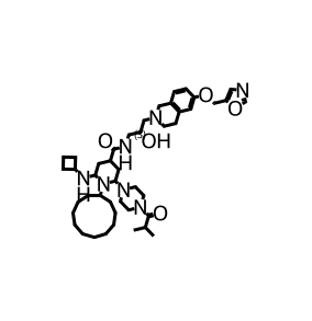 CC(C)C(=O)N1CCN(C2CC(C(=O)NC[C@H](O)CN3CCc4cc(OCc5cnco5)ccc4C3)CC(NC3CCC3)N2C2CCCCCCCCCC2)CC1